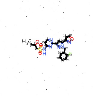 CCC(=O)CS(=O)(=O)Nc1ccnc(-c2cc(-c3ccon3)n(Cc3ccccc3F)n2)n1